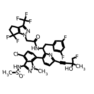 Cn1nc(N[S+](C)[O-])c2c(Cl)ccc(-c3ccc(C#CC(C)(O)CF)nc3C(Cc3cc(F)cc(F)c3)NC(=O)Cn3nc(C(F)(F)F)c4c3C(F)(F)CC4)c21